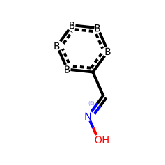 O/N=C/c1bbbbb1